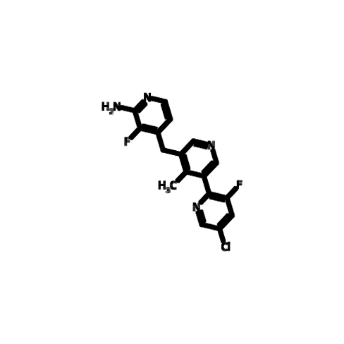 Cc1c(Cc2ccnc(N)c2F)cncc1-c1ncc(Cl)cc1F